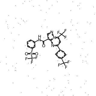 O=C(Nc1cccc(S(=O)(=O)C(F)(F)F)c1)c1cnn2c(C(F)(F)F)cc(-c3ccc(C(F)(F)F)cc3)nc12